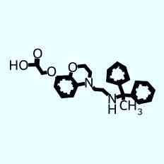 CC(NCCN1CCOc2c(OCC(=O)O)cccc21)(c1ccccc1)c1ccccc1